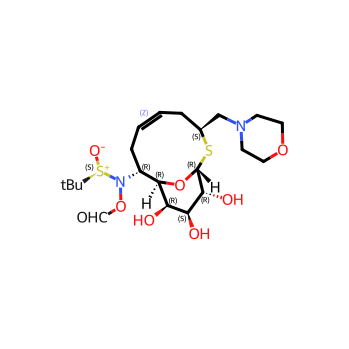 CC(C)(C)[S@@+]([O-])N(OC=O)[C@@H]1C/C=C\C[C@@H](CN2CCOCC2)S[C@H]2O[C@H]1[C@H](O)[C@H](O)[C@H]2O